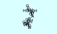 CCc1sc([C@@H]2O[C@@H]3C[C@H]4[C@@H]5CCC6=CC(=O)C=C[C@]6(C)[C@H]5[C@@H](O)C[C@]4(C)[C@]3(C(=O)CO)O2)cc1Cc1cccc(NC(=O)[C@H](CCC(=O)O)NC(=O)CNC(=O)CBr)c1